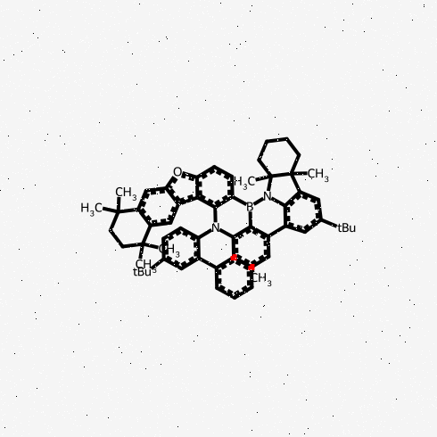 Cc1cc2c3c(c1)N(c1ccc(C(C)(C)C)cc1-c1ccccc1)c1c(ccc4oc5cc6c(cc5c14)C(C)(C)CCC6(C)C)B3N1c3c-2cc(C(C)(C)C)cc3C2(C)CCCCC12C